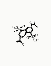 CC(=O)c1cc(S(=O)(=O)O)c2cc(C(=O)C(C)C)cc(S(=O)(=O)O)c2c1